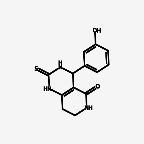 O=C1NCCC2=C1C(c1cccc(O)c1)NC(=S)N2